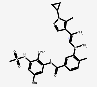 COc1c(NC(=O)c2ccc(C)c(N(N)/C=C(\N)c3cnn(C4CC4)c3C)c2)cc(C(C)(C)C)cc1NS(C)(=O)=O